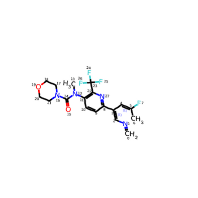 C=N/C=C(\C=C(/C)F)c1ccc(N(C)C(=O)N2CCOCC2)c(C(F)(F)F)n1